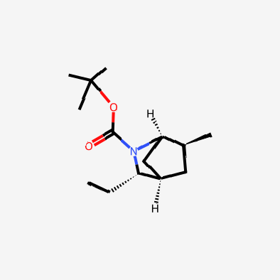 CC[C@H]1[C@H]2C[C@H]([C@@H](C)C2)N1C(=O)OC(C)(C)C